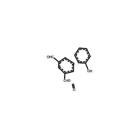 C=O.O=Cc1cccc(C=O)c1.Oc1ccccc1